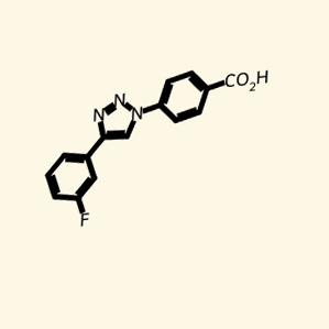 O=C(O)c1ccc(-n2cc(-c3cccc(F)c3)nn2)cc1